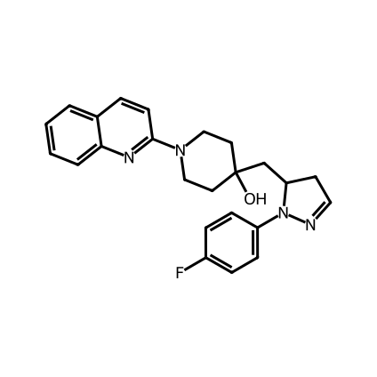 OC1(CC2CC=NN2c2ccc(F)cc2)CCN(c2ccc3ccccc3n2)CC1